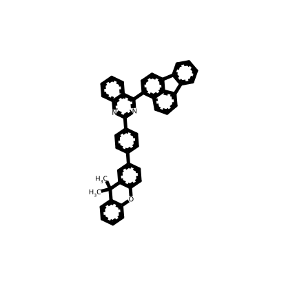 CC1(C)c2ccccc2Oc2ccc(-c3ccc(-c4nc(-c5ccc6c7c(cccc57)-c5ccccc5-6)c5ccccc5n4)cc3)cc21